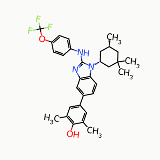 Cc1cc(-c2ccc3c(c2)nc(Nc2ccc(OC(F)(F)F)cc2)n3[C@H]2C[C@@H](C)CC(C)(C)C2)cc(C)c1O